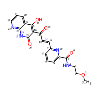 COCCNC(=O)c1cccc(/C=C/C(=O)c2c(O)c3cccnc3[nH]c2=O)n1